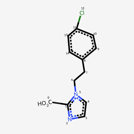 O=C(O)c1nccn1CCc1ccc(Cl)cc1